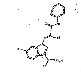 CCC(C(=O)O)n1cc(/C=C(\C#N)C(=O)Nc2ccccc2)c2cc(Br)ccc21